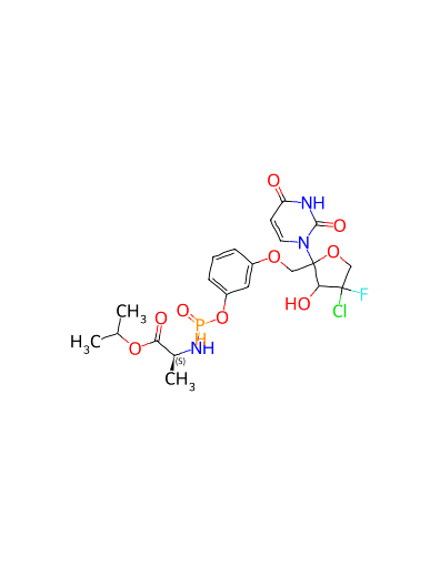 CC(C)OC(=O)[C@H](C)N[PH](=O)Oc1cccc(OCC2(n3ccc(=O)[nH]c3=O)OCC(F)(Cl)C2O)c1